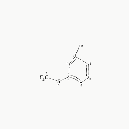 [CH2]c1cccc(SC(F)(F)F)c1